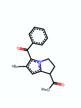 CCCCc1cc2n(c1C(=O)c1ccccc1)CCC2C(=O)OC